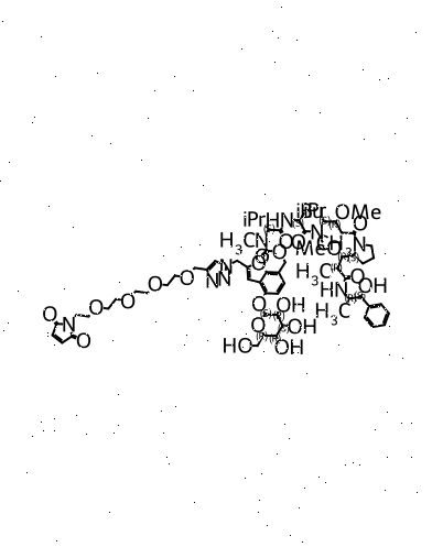 CCC(C)[C@@H]([C@@H](CC(=O)N1CCC[C@H]1[C@H](OC)[C@@H](C)C(=O)N[C@H](C)[C@@H](O)c1ccccc1)OC)N(C)C(=O)[C@@H](NC(=O)[C@H](C(C)C)N(C)C(=O)OCc1ccc(O[C@@H]2O[C@H](CO)[C@H](O)[C@H](O)[C@H]2O)c2cc(Cn3cc(COCCOCCOCCOCCN4C(=O)C=CC4=O)nn3)oc12)C(C)C